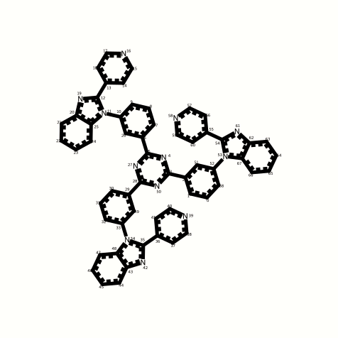 c1cc(-c2nc(-c3cccc(-n4c(-c5ccncc5)nc5ccccc54)c3)nc(-c3cccc(-n4c(-c5ccncc5)nc5ccccc54)c3)n2)cc(-n2c(-c3ccncc3)nc3ccccc32)c1